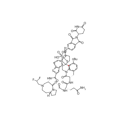 CCCCc1ccc(C[C@H](NC(=O)[C@H](CCC(N)=O)NC(=O)[C@@H]2CC[C@@H]3CCN(CC(F)F)C[C@H](NC(=O)c4cc5cc(C(F)(F)P(=O)(O)O)ccc5s4)C(=O)N32)C(=O)N2CCC3(CCC(Nc4ccc5c(c4)C(=O)N(C4CCC(=O)NC4=O)C5=O)CC3)CC2)cc1